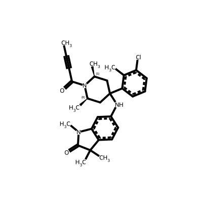 CC#CC(=O)N1[C@H](C)CC(Nc2ccc3c(c2)N(C)C(=O)C3(C)C)(c2cccc(Cl)c2C)C[C@@H]1C